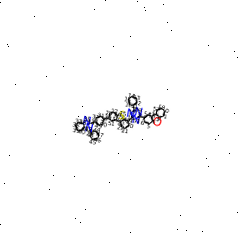 C1=CC2Oc3ccc(-c4nc(-c5ccccc5)nc(-c5cccc6c5sc5ccc(-c7ccc(-c8nc9ccccc9n8-c8ccccc8)cc7)cc56)n4)cc3C2C=C1